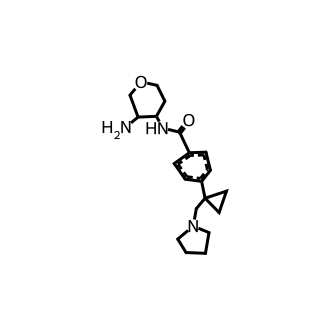 NC1COCCC1NC(=O)c1ccc(C2(CN3CCCC3)CC2)cc1